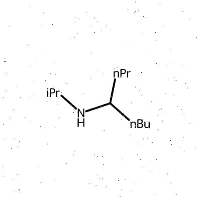 CCCCC(CCC)NC(C)C